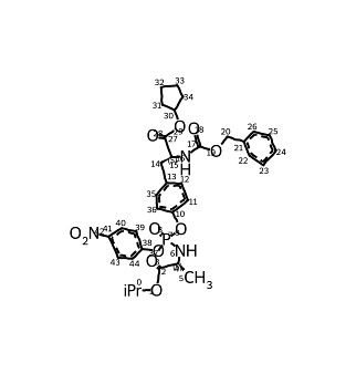 CC(C)OC(=O)[C@H](C)NP(=O)(Oc1ccc(C[C@H](NC(=O)OCc2ccccc2)C(=O)OC2CCCC2)cc1)Oc1ccc([N+](=O)[O-])cc1